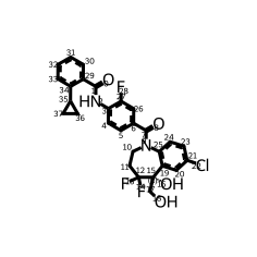 O=C(Nc1ccc(C(=O)N2CCC(F)(F)[C@](O)(CO)c3cc(Cl)ccc32)cc1F)c1ccccc1C1CC1